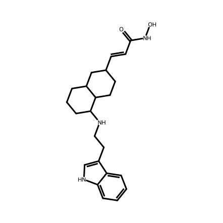 O=C(C=CC1CCC2C(CCCC2NCCc2c[nH]c3ccccc23)C1)NO